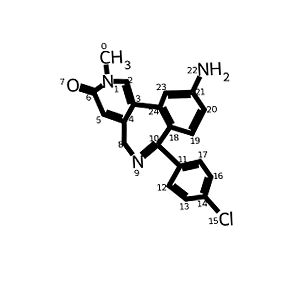 Cn1cc2c(cc1=O)CN=C(c1ccc(Cl)cc1)c1ccc(N)cc1-2